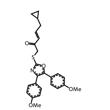 COc1ccc(-c2nc(SCC(=O)/C=C/CC3CC3)oc2-c2ccc(OC)cc2)cc1